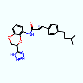 CC(C)CCc1ccc(/C=C/C(=O)Nc2cccc3c2OC(c2nnn[nH]2)CO3)cc1